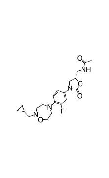 CC(=O)NC[C@H]1CN(c2ccc(N3CCON(CC4CC4)CC3)c(F)c2)C(=O)O1